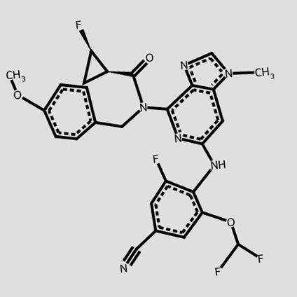 COc1ccc(CN(C(=O)[C@H]2C[C@H]2F)c2nc(Nc3c(F)cc(C#N)cc3OC(F)F)cc3c2ncn3C)cc1